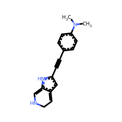 CN(C)c1ccc(C#Cc2cc3c([nH]2)=CNCC=3)cc1